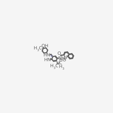 CN(C)C1=CC(=N)/C(=C\N[C@H]2CC[C@](C)(O)CC2)C=C1NC(=O)c1ccc2ccccc2[n+]1O